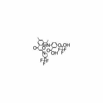 Cc1cc(C(C)Nc2ccccc2C(=O)O)c2oc(N3CC[C@@H](C(F)(F)F)C3)cc(=O)c2c1.O=C(O)C(F)(F)F